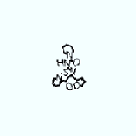 O=C(c1ccccn1)c1sc(NC(=O)N2CCCCC2)nc1-c1ccco1